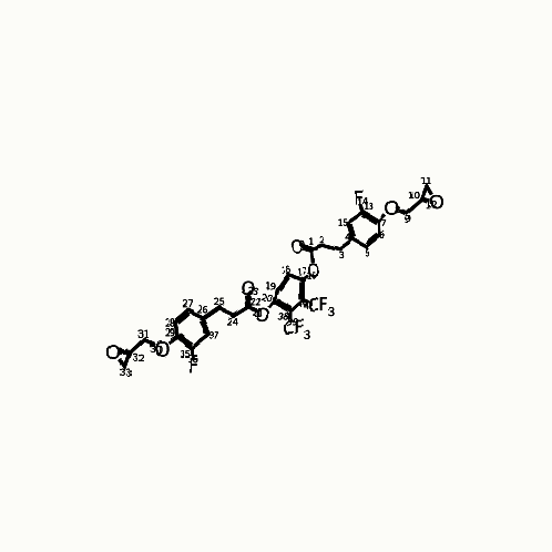 O=C(CCc1ccc(OCC2CO2)c(F)c1)Oc1ccc(OC(=O)CCc2ccc(OCC3CO3)c(F)c2)c(C(F)(F)F)c1C(F)(F)F